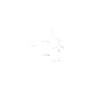 CCOC1=C(C(=O)N(C)C)S(=O)(=O)N=C1N